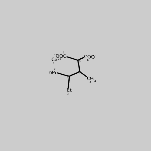 CCCC(CC)C(C)C(C(=O)[O-])C(=O)[O-].[Ca+2]